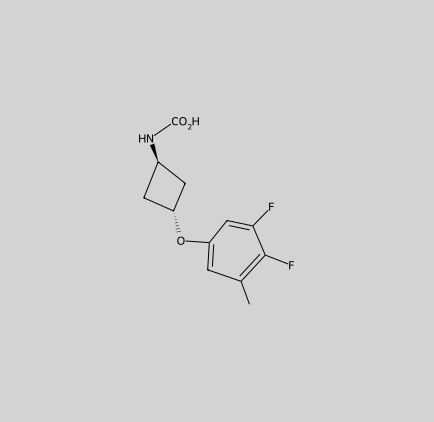 Cc1cc(O[C@H]2C[C@H](NC(=O)O)C2)cc(F)c1F